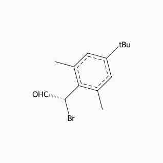 Cc1cc(C(C)(C)C)cc(C)c1[C@H](Br)C=O